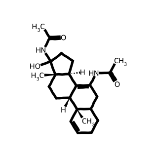 CC(=O)NC1=C2[C@@H](CC[C@@]3(C)[C@H]2CCC3(O)NC(C)=O)[C@@]2(C)C=CCCC2C1